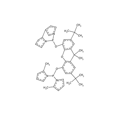 Cc1cccn1P(Oc1cc(C(C)(C)C)cc2c1Oc1c(OP3n4ccc(c4)-c4cccn43)cc(C(C)(C)C)cc1C2(C)C)n1cccc1C